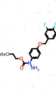 COCCOC(=O)N(N)c1ccc(OCc2ccc(F)c(F)c2)cc1